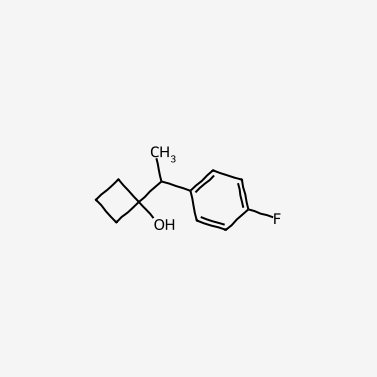 CC(c1ccc(F)cc1)C1(O)CCC1